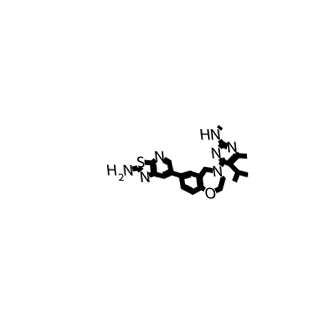 CNc1nc(C)c(C(C)C)c(N2CCOc3ccc(-c4cnc5sc(N)nc5c4)cc3C2)n1